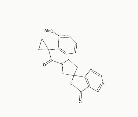 COc1ccccc1C1(C(=O)N2CCC3(C2)OC(=O)c2cnccc23)CC1